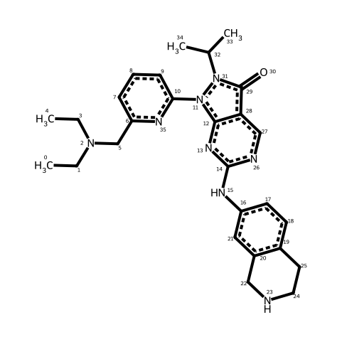 CCN(CC)Cc1cccc(-n2c3nc(Nc4ccc5c(c4)CNCC5)ncc3c(=O)n2C(C)C)n1